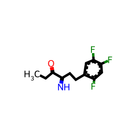 CCC(=O)C(=N)CCc1cc(F)c(F)cc1F